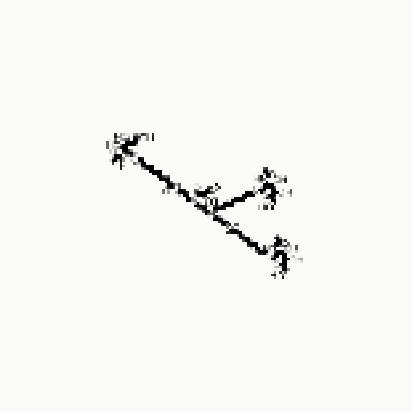 COCC(O)C(=O)N(CCCNC(=O)CCCCCCCO[C@@H]1OC(CO)[C@H](O)C(O)C1NC(C)=O)CCCN(CCCNC(=O)CCCCCCCO[C@@H]1OC(CO)[C@H](O)C(O)C1NC(C)=O)C(=O)CCCCCCCO[C@@H]1OC(CO)[C@H](O)C(O)C1NC(C)=O